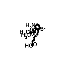 CC(C)(C)OC(=O)N(CCC=CC(=O)O)Cc1cc(N)ccc1Br